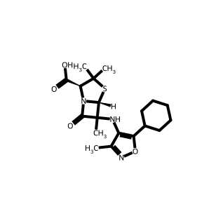 Cc1noc(C2CCCCC2)c1NC1(C)C(=O)N2[C@@H](C(=O)O)C(C)(C)S[C@@H]21